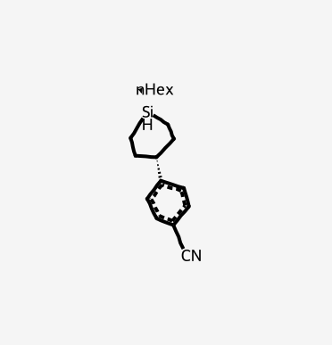 CCCCCC[Si@H]1CC[C@H](c2ccc(C#N)cc2)CC1